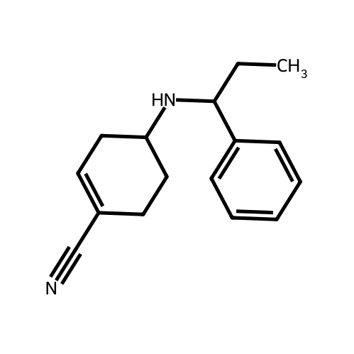 CCC(NC1CC=C(C#N)CC1)c1ccccc1